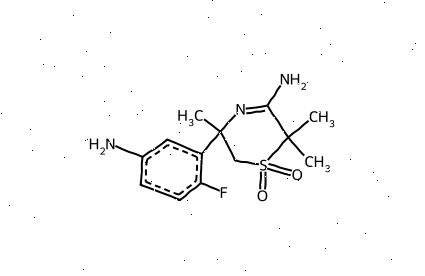 CC1(c2cc(N)ccc2F)CS(=O)(=O)C(C)(C)C(N)=N1